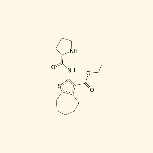 CCOC(=O)c1c(NC(=O)[C@H]2CCCN2)sc2c1CCCCC2